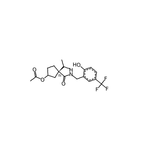 CC(=O)OC1CC[C@@](C(=O)NCc2cc(C(F)(F)F)ccc2O)(C(C)C)C1